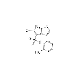 O=S(=O)(Cl)c1c(Cl)nc2sccn12.Oc1ccccc1